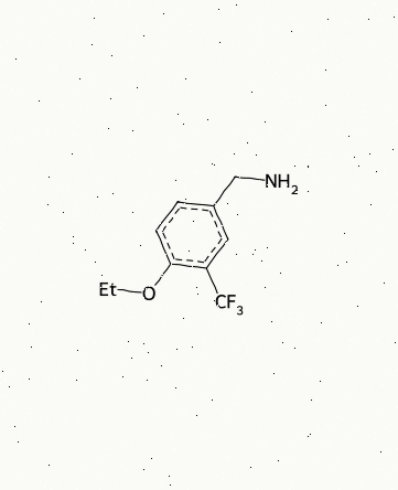 CCOc1ccc(CN)cc1C(F)(F)F